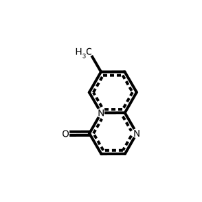 Cc1ccc2nccc(=O)n2c1